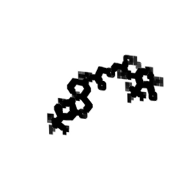 CC(COCC(=O)NC1CCN2c3ncc(C(F)(F)F)cc3OCC2C1)Nc1cn[nH]c(=O)c1C(F)(F)F